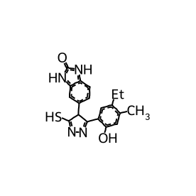 CCc1cc(C2=NN=C(S)C2c2ccc3[nH]c(=O)[nH]c3c2)c(O)cc1C